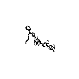 CCCCC(c1ccccc1)N1CCC(n2cc(-c3ccc(-n4cnc(C)c4)c(OC)c3)nn2)C1